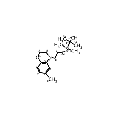 Cc1ccc2c(c1)N(CCO[Si](C)(C)C(C)(C)C)CCO2